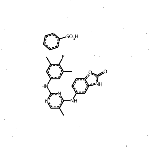 Cc1cnc(Nc2cc(C)c(F)c(C)c2)nc1Nc1ccc2oc(=O)[nH]c2c1.O=S(=O)(O)c1ccccc1